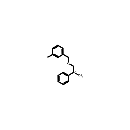 C[C@H](COCc1cccc(F)c1)c1ccccc1